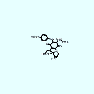 COC12C(CO)C3=C(C(=O)C(C)=C(Nc4ccc(NC(C)=O)cc4)C3=O)N1CC1NC12.NC(=O)O